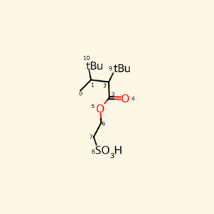 CC(C(C(=O)OCCS(=O)(=O)O)C(C)(C)C)C(C)(C)C